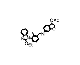 CCOc1nc2ccccc2n1-c1cccc(CNc2ccc3c(c2)OC[C@H]3OC(C)=O)c1C